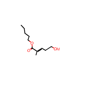 CCCCCOC(=O)C(C)=CCCO